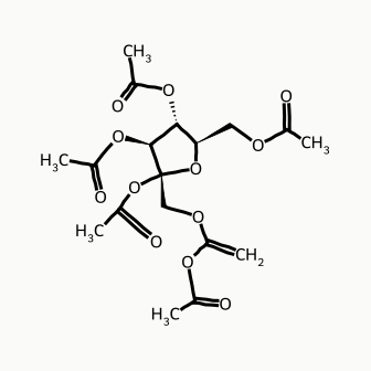 C=C(OC[C@]1(OC(C)=O)O[C@H](COC(C)=O)[C@@H](OC(C)=O)[C@@H]1OC(C)=O)OC(C)=O